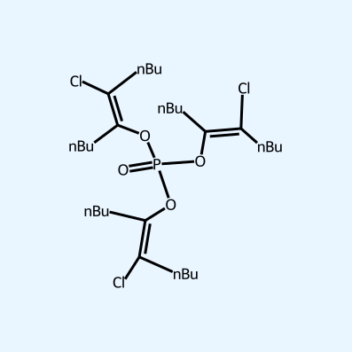 CCCC/C(Cl)=C(/CCCC)OP(=O)(O/C(CCCC)=C(/Cl)CCCC)O/C(CCCC)=C(/Cl)CCCC